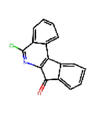 O=C1c2ccccc2-c2c1nc(Cl)c1ccccc21